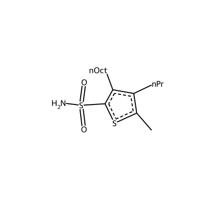 CCCCCCCCc1c(S(N)(=O)=O)sc(C)c1CCC